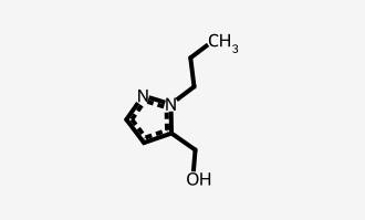 CCCn1nccc1CO